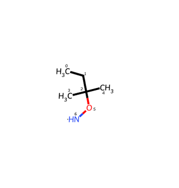 CCC(C)(C)O[NH]